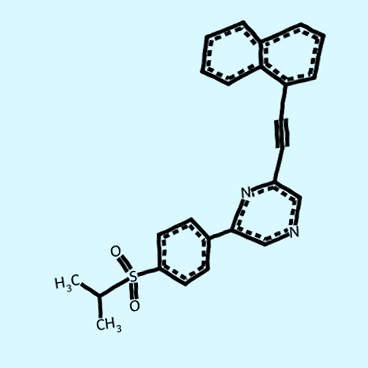 CC(C)S(=O)(=O)c1ccc(-c2cncc(C#Cc3cccc4ccccc34)n2)cc1